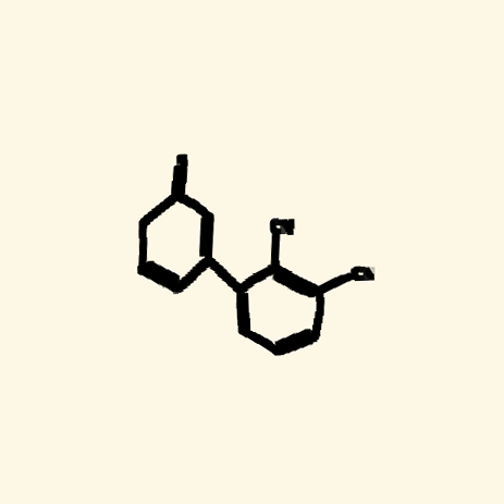 N#Cc1cccc(C2=CC(=S)CC=C2)c1C#N